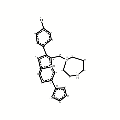 Clc1ccc(-c2nc3ccc(-c4cccs4)cn3c2CN2CCCNCC2)cc1